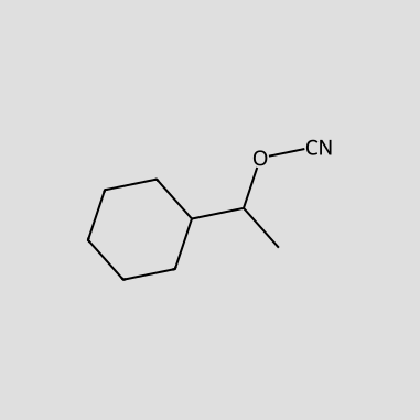 CC(OC#N)C1CCCCC1